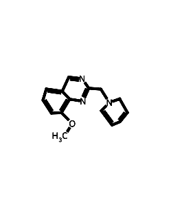 COc1cccc2cnc(CN3C=CC=CC3)nc12